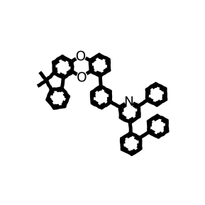 CC1(C)c2ccccc2-c2c1ccc1c2Oc2c(cccc2-c2cccc(-c3cc(-c4ccccc4-c4ccccc4)cc(-c4ccccc4)n3)c2)O1